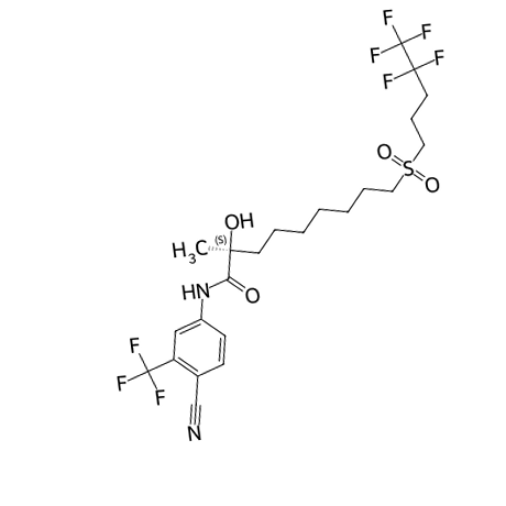 C[C@](O)(CCCCCCCS(=O)(=O)CCCC(F)(F)C(F)(F)F)C(=O)Nc1ccc(C#N)c(C(F)(F)F)c1